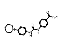 CCCC(=O)c1ccc(NC(=O)Nc2ccc(N3CCCCC3)cc2)cc1